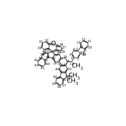 C[C@@H](c1ccc2c(c1)sc1ccccc12)C(Cc1ccc2c(c1)C1(c3ccccc3Oc3ccccc31)c1ccc3ccccc3c1-2)c1ccc2c(c1)C(C)(C)c1ccccc1-2